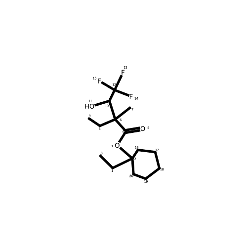 CCC1(OC(=O)C(C)(CC)C(O)C(F)(F)F)CCCCC1